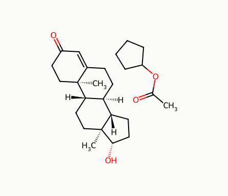 CC(=O)OC1CCCC1.C[C@]12CC[C@H]3[C@@H](CCC4=CC(=O)CC[C@@]43C)[C@@H]1CC[C@@H]2O